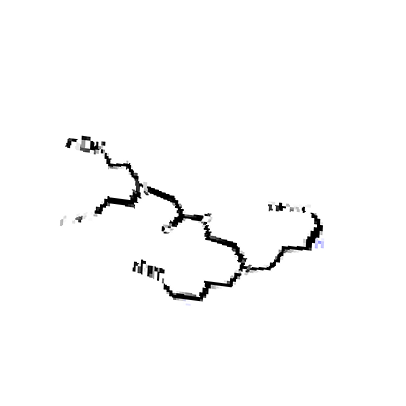 CCCCC/C=C\CCN(CC/C=C\CCCCC)CCOC(=O)CN(CCCCCCCCCCCC)CCCCCCCCCCCC